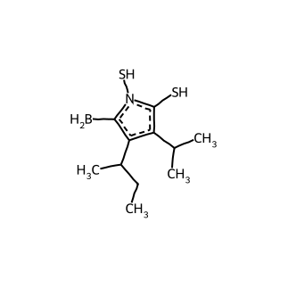 Bc1c(C(C)CC)c(C(C)C)c(S)n1S